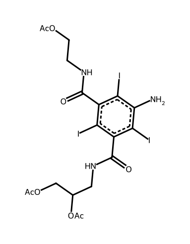 CC(=O)OCCNC(=O)c1c(I)c(N)c(I)c(C(=O)NCC(COC(C)=O)OC(C)=O)c1I